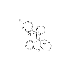 Fc1ccc(NCC2CC3CCC(C2)N3C(c2ccccc2Cl)c2ccccc2Cl)nc1